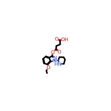 C1CCNCC1.CCOc1cccc2c(OC(=O)CCC(=O)O)n[nH]c12